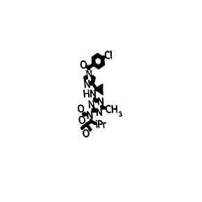 Cc1nc(NC2(c3cn(C(=O)c4ccc(Cl)cc4)cn3)CC2)nc(N2C(=O)OC3(COC3)C2C(C)C)n1